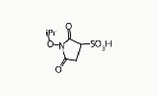 CC(C)ON1C(=O)CC(S(=O)(=O)O)C1=O